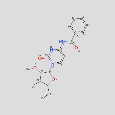 CCC1OC(n2ccc(NC(=O)c3ccccc3)nc2=O)C(OC)C1C